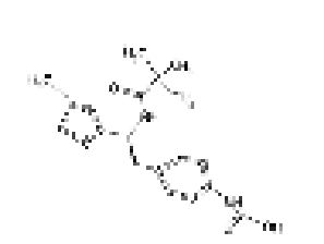 Cc1csc([C@H](Cc2ccc(NS(=O)O)cc2)NC(=O)C(C)(C)C)n1